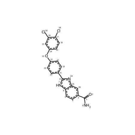 NC(=O)c1ccc2[nH]c(-c3ccc(Oc4ccc(Cl)c(Cl)c4)cc3)nc2c1